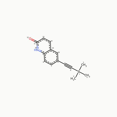 C[Si](C)(C)C#Cc1ccc2[nH]c(=O)ccc2c1